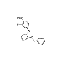 O=Cc1ccc(Oc2ccccc2OCc2ccccc2)cc1F